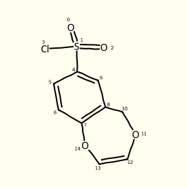 O=S(=O)(Cl)c1ccc2c(c1)COC=CO2